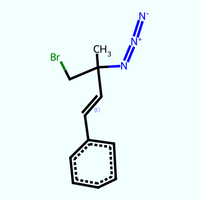 CC(/C=C/c1ccccc1)(CBr)N=[N+]=[N-]